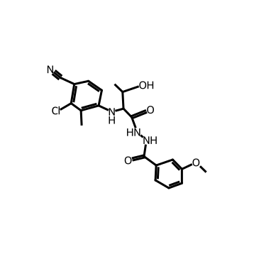 COc1cccc(C(=O)NNC(=O)C(Nc2ccc(C#N)c(Cl)c2C)C(C)O)c1